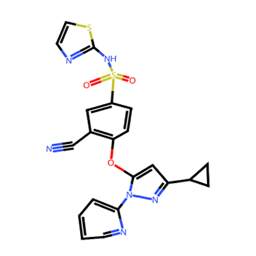 N#Cc1cc(S(=O)(=O)Nc2nccs2)ccc1Oc1cc(C2CC2)nn1-c1ccccn1